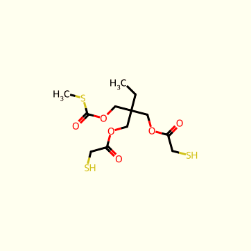 CCC(COC(=O)CS)(COC(=O)CS)COC(=O)SC